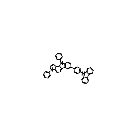 c1ccc(-n2ccc3c2ccc2c4cc(-c5ccc(-n6c7ccccc7c7ccccc76)cc5)ccc4n(-c4ccccc4)c23)cc1